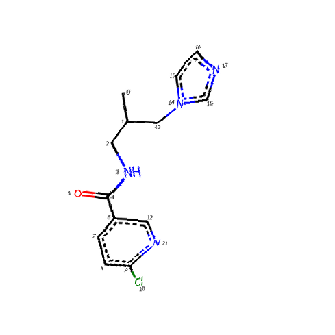 CC(CNC(=O)c1ccc(Cl)nc1)Cn1ccnc1